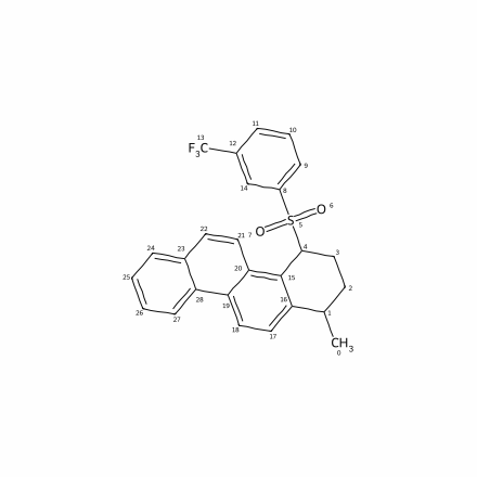 CC1CCC(S(=O)(=O)c2cccc(C(F)(F)F)c2)c2c1ccc1c2ccc2ccccc21